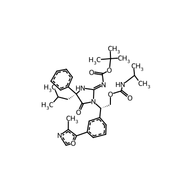 Cc1ncoc1-c1cccc([C@@H](COC(=O)NC(C)C)N2C(=O)[C@@](CC(C)C)(c3ccccc3)N/C2=N\C(=O)OC(C)(C)C)c1